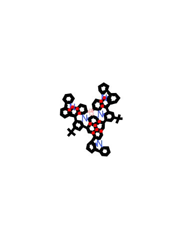 CC(C)(C)c1cc(-c2ccccc2)c(N2c3cc(-n4c5ccccc5c5ccccc54)ccc3B3c4ccc(-n5c6ccccc6c6ccccc65)cc4N(c4c(-c5ccccc5)cc(C(C)(C)C)cc4-c4ccccc4)c4cc(-c5ccc6c(c5)c5cccc7c8ccccc8n6c75)cc2c43)c(-c2ccccc2)c1